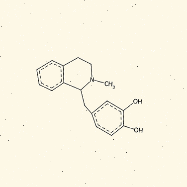 CN1CCc2ccccc2C1Cc1ccc(O)c(O)c1